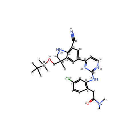 CN(C)C(=O)Cc1ccc(Cl)cc1Nc1nccc(-c2cc(C#N)c3c(c2)C(C)(CO[Si](C)(C)C(C)(C)C)CN3)n1